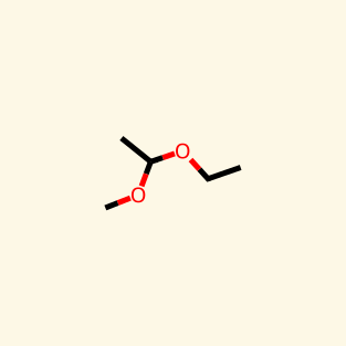 CCO[C](C)OC